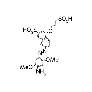 COc1cc(N=Nc2ccc3c(OCCCS(=O)(=O)O)cc(S(=O)(=O)O)cc3c2)c(OC)cc1N